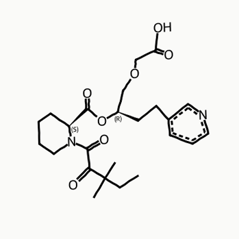 CCC(C)(C)C(=O)C(=O)N1CCCC[C@H]1C(=O)O[C@H](CCc1cccnc1)COCC(=O)O